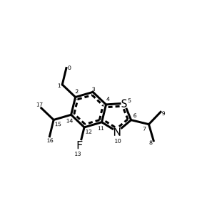 CCc1cc2sc(C(C)C)nc2c(F)c1C(C)C